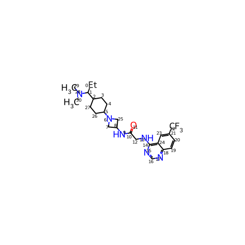 CCC(C1CCC(N2CC(NC(=O)CNc3ncnc4ccc(C(F)(F)F)cc34)C2)CC1)N(C)C